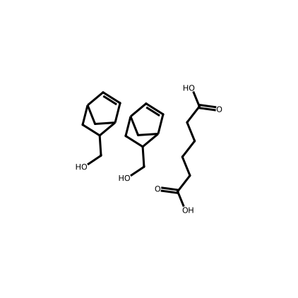 O=C(O)CCCCC(=O)O.OCC1CC2C=CC1C2.OCC1CC2C=CC1C2